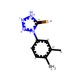 Bc1ccc(-n2nn[nH]c2=S)cc1C